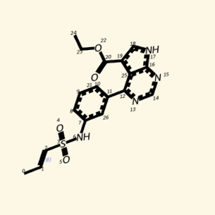 C/C=C/S(=O)(=O)Nc1cccc(-c2ncnc3[nH]cc(C(=O)OCC)c23)c1